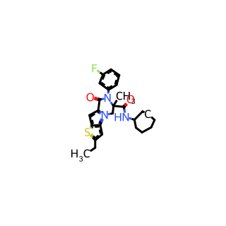 CCc1cc2c(cc3n2CC(C)(C(=O)NC2CCCCCC2)N(c2cccc(F)c2)C3=O)s1